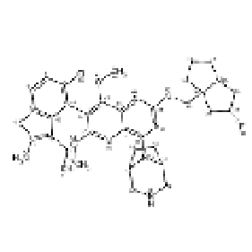 CCc1c(N)sc2ccc(Cl)c(-c3c(OC)nc4c(N5C6CCC5CNC6)nc(OCC56CCCN5C[C@H](F)C6)nc4c3OC)c12